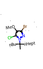 CCCCCCCC(C)(CCCC)n1nc(Br)c(OC)c1Cl